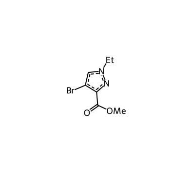 CCn1cc(Br)c(C(=O)OC)n1